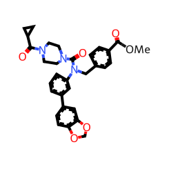 COC(=O)c1ccc(CN(C(=O)N2CCN(C(=O)C3CC3)CC2)c2cccc(-c3ccc4c(c3)OCO4)c2)cc1